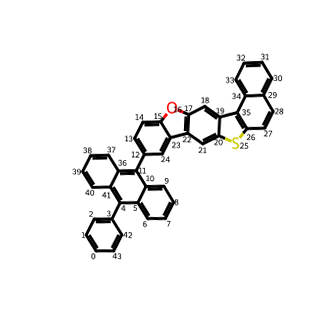 c1ccc(-c2c3ccccc3c(-c3ccc4oc5cc6c(cc5c4c3)sc3ccc4ccccc4c36)c3ccccc23)cc1